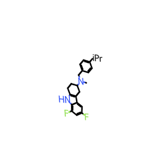 CC(C)c1ccc(CN(C)C2CCc3[nH]c4c(F)cc(F)cc4c3C2)cc1